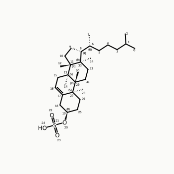 CC(C)CCC[C@@H](C)[C@H]1CC[C@@]2(C)[C@]3(C)CC=C4C[C@H](OS(=O)(=O)O)CC[C@]4(C)[C@@]3(C)CC[C@]12C